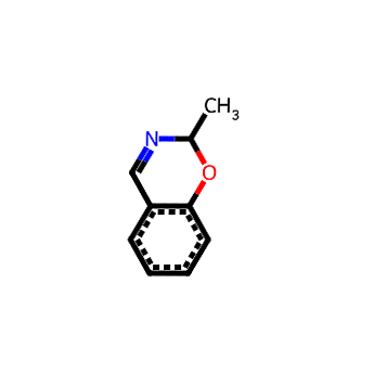 CC1N=Cc2ccccc2O1